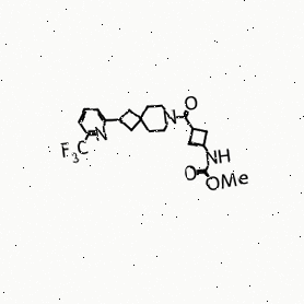 COC(=O)NC1CC(C(=O)N2CCC3(CC2)CC(c2cccc(C(F)(F)F)n2)C3)C1